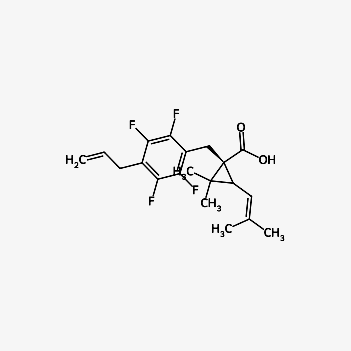 C=CCc1c(F)c(F)c(C[C@@]2(C(=O)O)C(C=C(C)C)C2(C)C)c(F)c1F